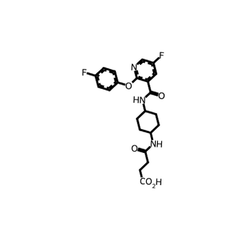 O=C(O)CCC(=O)NC1CCC(NC(=O)c2cc(F)cnc2Oc2ccc(F)cc2)CC1